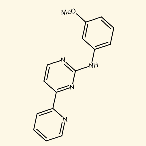 COc1cccc(Nc2nccc(-c3ccccn3)n2)c1